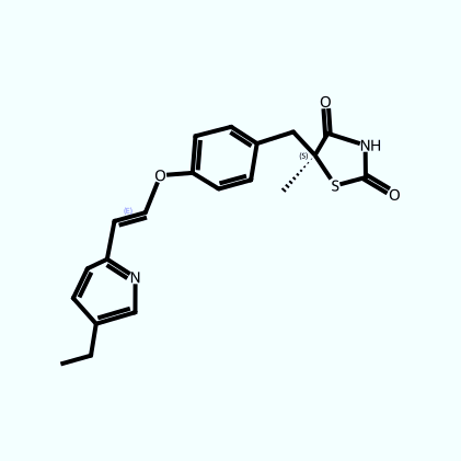 CCc1ccc(/C=C/Oc2ccc(C[C@]3(C)SC(=O)NC3=O)cc2)nc1